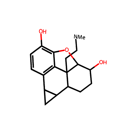 CNCCC12c3c4ccc(O)c3OC1C(O)CCC2C1CC41